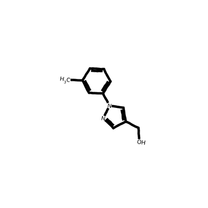 Cc1cccc(-n2cc(CO)cn2)c1